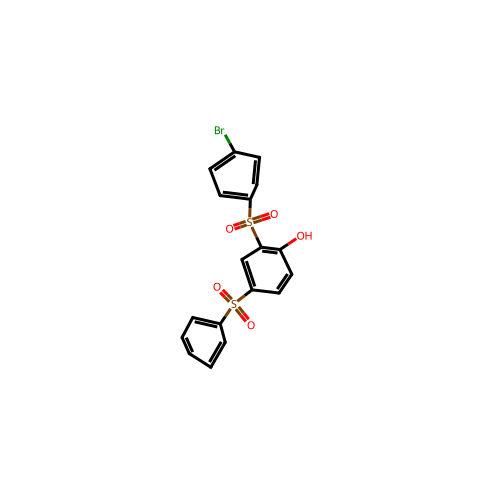 O=S(=O)(c1ccccc1)c1ccc(O)c(S(=O)(=O)c2ccc(Br)cc2)c1